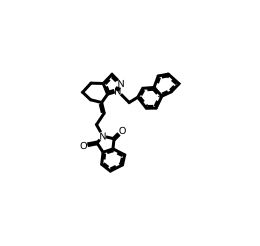 O=C1c2ccccc2C(=O)N1CC=C1CCCc2cnn(Cc3ccc4ccccc4c3)c21